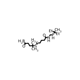 BC(=O)CCC(C)(C)SSCCCC(=O)NCPC(C)(CC)CC